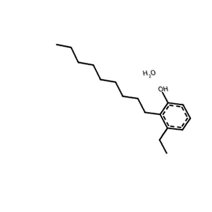 CCCCCCCCCc1c(O)cccc1CC.O